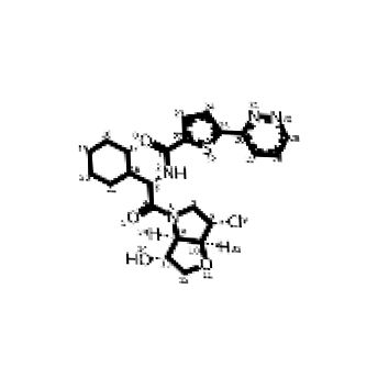 O=C(N[C@H](C(=O)N1C[C@H](Cl)[C@H]2OC[C@H](O)[C@H]21)C1CCCCC1)c1ccc(-c2cccnn2)s1